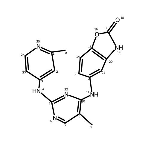 Cc1cc(Nc2ncc(C)c(Nc3ccc4oc(=O)[nH]c4c3)n2)ccn1